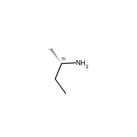 [CH2][C@H](N)CC